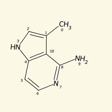 Cc1c[nH]c2ccnc(N)c12